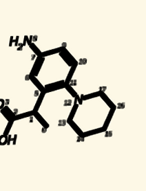 CC(C(=O)O)c1cc(N)ccc1N1CCCCC1